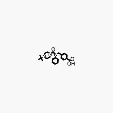 CC(C)(C)N1CCN(C(=O)N(Cc2ccc(C(=O)O)cc2)c2ccccc2)CC1